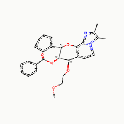 COCCO[C@@H]1c2ccn3c(C)c(C)nc3c2O[C@H](c2ccccc2)[C@@H]1OC(=O)c1ccccc1